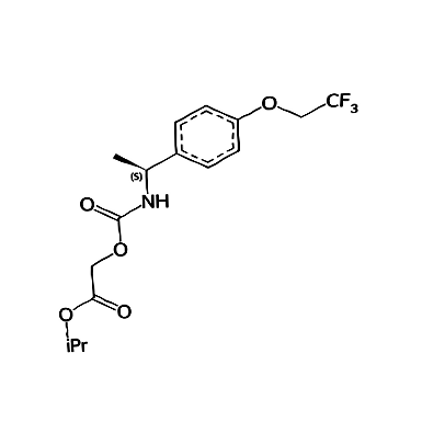 CC(C)OC(=O)COC(=O)N[C@@H](C)c1ccc(OCC(F)(F)F)cc1